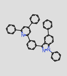 c1ccc(-c2cc(-c3ccccc3)nc(-c3cccc(-c4nn(-c5ccccc5)c5ccc(-c6ccccc6)cc45)c3)c2)cc1